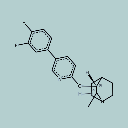 C[C@H]1[C@H](Oc2ccc(-c3ccc(F)c(F)c3)cn2)C2CCN1CC2